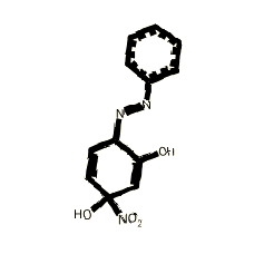 O=[N+]([O-])C1(O)C=CC(/N=N/c2ccccc2)C(O)=C1